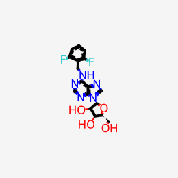 OC[C@H]1O[C@@H](n2cnc3c(NCc4c(F)cccc4F)ncnc32)[C@H](O)[C@@H]1O